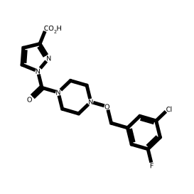 O=C(O)c1ccn(C(=O)N2CCN(OCc3cc(F)cc(Cl)c3)CC2)n1